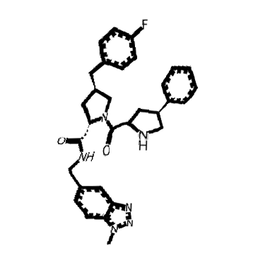 Cn1nnc2cc(CNC(=O)[C@@H]3C[C@@H](Cc4ccc(F)cc4)CN3C(=O)C3C[C@@H](c4ccccc4)CN3)ccc21